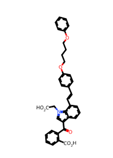 O=C(O)Cn1cc(C(=O)c2ccccc2C(=O)O)c2cccc(/C=C/c3ccc(OCCCCOc4ccccc4)cc3)c21